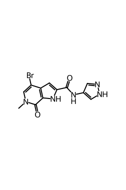 Cn1cc(Br)c2cc(C(=O)Nc3cn[nH]c3)[nH]c2c1=O